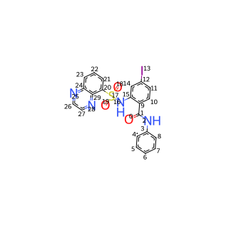 O=C(Nc1[c]cccc1)c1ccc(I)cc1NS(=O)(=O)c1cccc2nccnc12